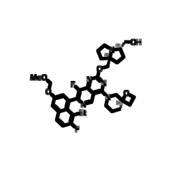 CCc1c(F)ccc2cc(OCOC)cc(-c3ncc4c(N5CCC[C@]6(CCO6)C5)nc(OC[C@@]56CCCN5[C@H](CO)CC6)nc4c3F)c12